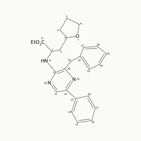 CCOC(=O)C(CC1CCCO1)Nc1ncc(-c2ccccc2)nc1Cc1ccccc1